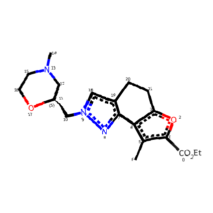 CCOC(=O)c1oc2c(c1C)-c1nn(C[C@@H]3CN(C)CCO3)cc1CC2